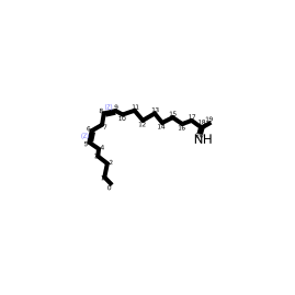 CCCCC/C=C\C/C=C\CCCCCCCCC(C)=N